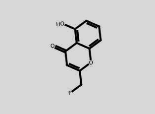 O=c1cc(CF)oc2cccc(O)c12